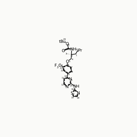 CC(C)C[C@@](C)(COc1ccc(-c2ccnc(Nc3nccs3)n2)cc1C(F)(F)F)NC(=O)OC(C)(C)C